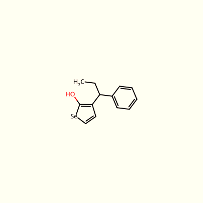 CCC(c1ccccc1)c1cc[se]c1O